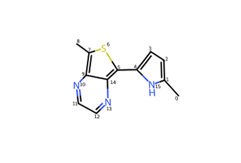 Cc1ccc(-c2sc(C)c3nccnc23)[nH]1